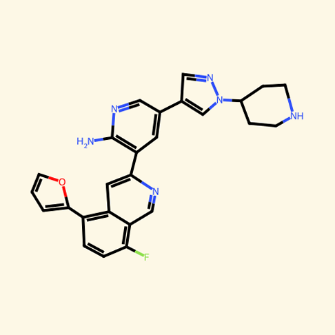 Nc1ncc(-c2cnn(C3CCNCC3)c2)cc1-c1cc2c(-c3ccco3)ccc(F)c2cn1